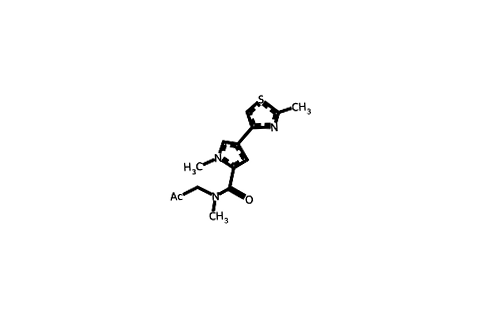 CC(=O)CN(C)C(=O)c1cc(-c2csc(C)n2)cn1C